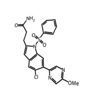 COc1cnc(-c2cc3c(cc2Cl)cc(CCC(N)=O)n3S(=O)(=O)c2ccccc2)cn1